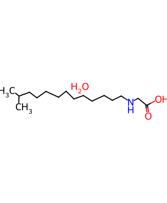 CC(C)CCCCCCCCCCCNCC(=O)O.O